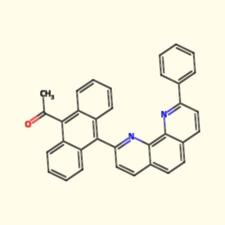 CC(=O)c1c2ccccc2c(-c2ccc3ccc4ccc(-c5ccccc5)nc4c3n2)c2ccccc12